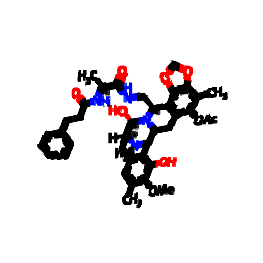 COc1c(C)cc2c(c1O)C1C3Cc4c(OC(C)=O)c(C)c5c(c4[C@H](CNC(=O)[C@H](C)NC(=O)CCc4ccccc4)N3[C@@H](O)[C@H](C2)N1C)OCO5